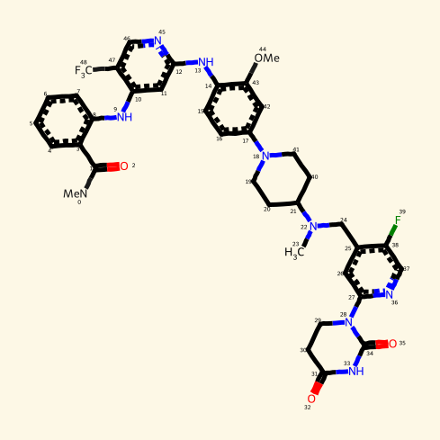 CNC(=O)c1ccccc1Nc1cc(Nc2ccc(N3CCC(N(C)Cc4cc(N5CCC(=O)NC5=O)ncc4F)CC3)cc2OC)ncc1C(F)(F)F